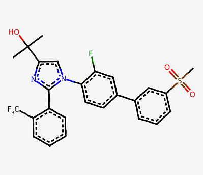 CC(C)(O)c1cn(-c2ccc(-c3cccc(S(C)(=O)=O)c3)cc2F)c(-c2ccccc2C(F)(F)F)n1